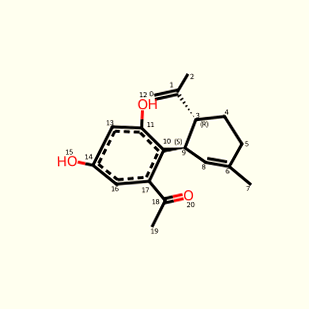 C=C(C)[C@@H]1CCC(C)=C[C@H]1c1c(O)cc(O)cc1C(C)=O